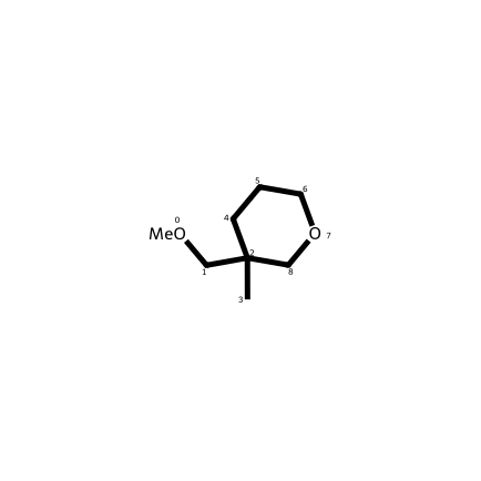 COCC1(C)CCCOC1